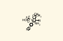 CC1(C)C=C2C(=NN(c3ccc(-n4ccnc4)cc3)C(N)=C2C#N)CO1.O=C(O)C(F)(F)F